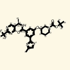 Cc1cnc(-c2cc(O[C@@H]3CCCN(C(=O)OC(C)(C)C)C3)cc(C(=O)N[C@H](C)c3cnc(C(F)(F)F)nc3)c2)s1